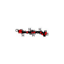 Cc1cc(Cl)cc(Cl)c1CN(C)S(=O)(=O)NCCOCCOCCNC(=O)[C@@H](O)C(O)C(=O)NCCOCCOCCNS(=O)(=O)c1ccc([C@H]2CN(C)Cc3c(Cl)cc(Cl)cc32)cc1